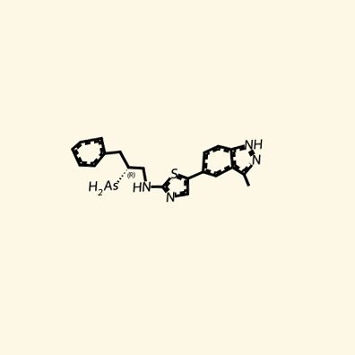 Cc1n[nH]c2ccc(-c3cnc(NC[C@H]([AsH2])Cc4ccccc4)s3)cc12